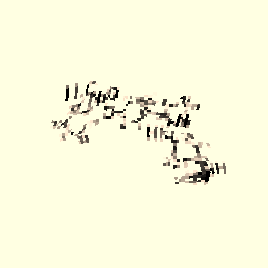 CN(C(=O)OC1CCc2c(sc3ncnc(Nc4ccc5[nH]ncc5c4)c23)C1)c1ccccc1